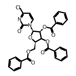 O=C(OC[C@H]1O[C@@H](n2ccc(Cl)nc2=O)[C@@H](OC(=O)c2ccccc2)C1OC(=O)c1ccccc1)c1ccccc1